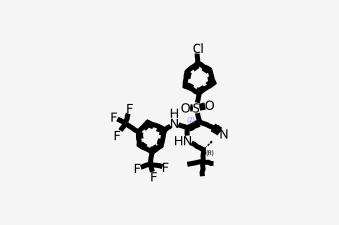 C[C@@H](N/C(Nc1cc(C(F)(F)F)cc(C(F)(F)F)c1)=C(\C#N)S(=O)(=O)c1ccc(Cl)cc1)C(C)(C)C